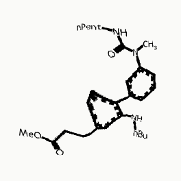 CCCCCNC(=O)N(C)c1cccc(-c2ccc(CCC(=O)OC)cc2NCCCC)c1